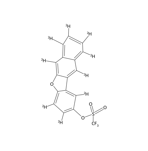 [2H]c1c(OS(=O)(=O)C(F)(F)F)c([2H])c2c(oc3c([2H])c4c([2H])c([2H])c([2H])c([2H])c4c([2H])c32)c1[2H]